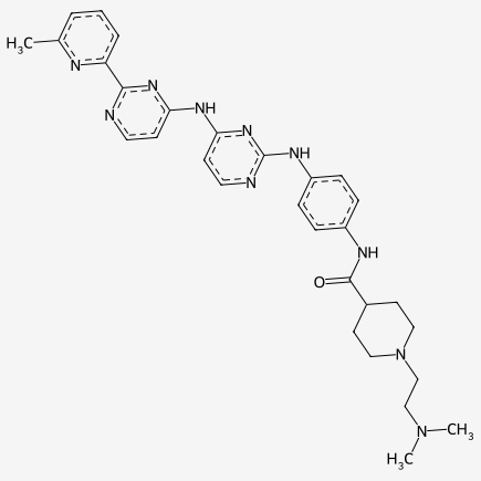 Cc1cccc(-c2nccc(Nc3ccnc(Nc4ccc(NC(=O)C5CCN(CCN(C)C)CC5)cc4)n3)n2)n1